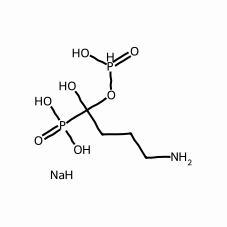 NCCCC(O)(O[PH](=O)O)P(=O)(O)O.[NaH]